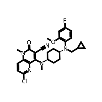 COc1cc(F)ccc1N(CC1CC1)[C@H]1CC[C@H](N(C)c2c(C#N)c(=O)n(C)c3ccc(Cl)nc23)CC1